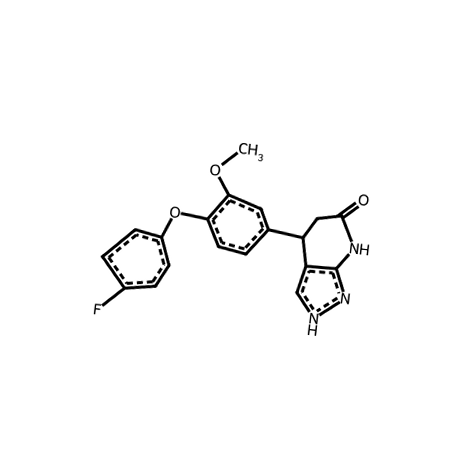 COc1cc(C2CC(=O)Nc3n[nH]cc32)ccc1Oc1ccc(F)cc1